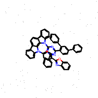 c1ccc(-c2ccc(-c3nc(-c4ccccc4)nc(-n4c5ccccc5c5ccc6c7ccccc7n(-c7ccc(-c8nc9ccccc9o8)cc7)c6c54)n3)c(-c3ccccc3)c2)cc1